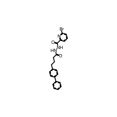 O=C(CCCc1ccc(-c2ccccc2)cc1)NNC(=O)c1cccc(Br)n1